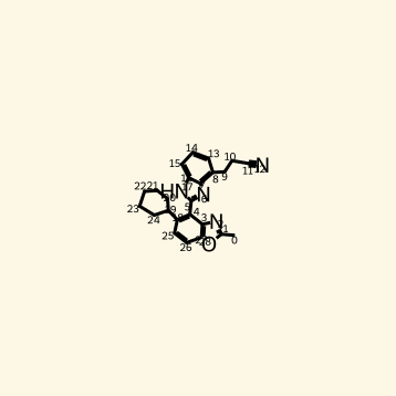 Cc1nc2c(-c3nc4c(CCC#N)cccc4[nH]3)c(C3CCCCC3)ccc2o1